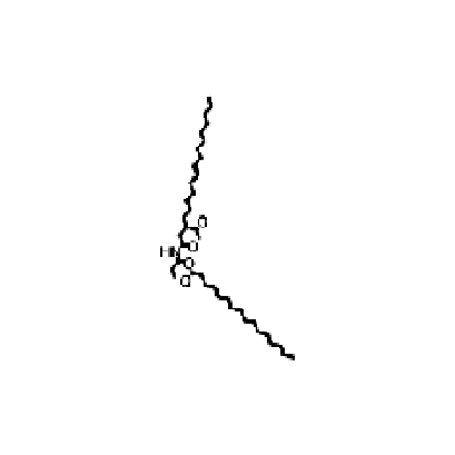 CCCCCCCCC=CCCCCCC(CC(=O)NC(CC)OC(=O)CCCCCCCCCCCCCCC)C(C)=O